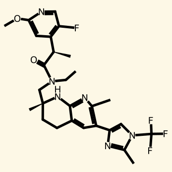 CCN(C[C@@]1(C)CCc2cc(-c3cn(C(F)(F)F)c(C)n3)c(C)nc2N1)C(=O)[C@H](C)c1cc(OC)ncc1F